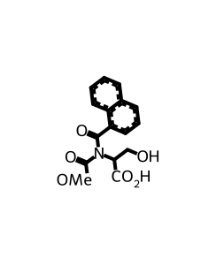 COC(=O)N(C(=O)c1cccc2ccccc12)C(CO)C(=O)O